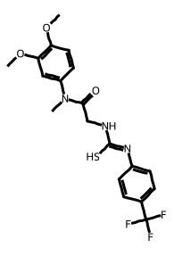 COc1ccc(N(C)C(=O)CNC(S)=Nc2ccc(C(F)(F)F)cc2)cc1OC